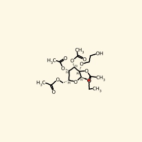 CCO[C@H]1O[C@H](COC(C)=O)[C@H](OC(C)=O)[C@H](OC(C)=O)[C@@]1(OCCO)OC(C)=O